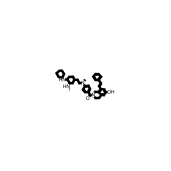 CN(CCC1CCC(NC2CCCCC2)C(NI)C1)c1ccc(C(=O)N2CCc3cc(O)cc(C=Cc4ccccc4)c3C2)cc1